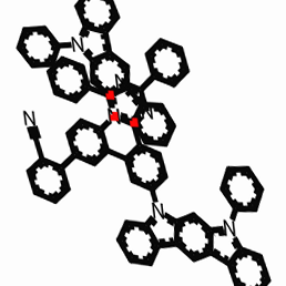 N#Cc1ccccc1-c1ccc(-n2c3ccccc3c3cc4c5ccccc5n(-c5ccccc5)c4cc32)c(-c2cc(-n3c4ccccc4c4cc5c6ccccc6n(-c6ccccc6)c5cc43)ccc2-c2nc(-c3ccccc3)nc(-c3ccccc3)n2)c1